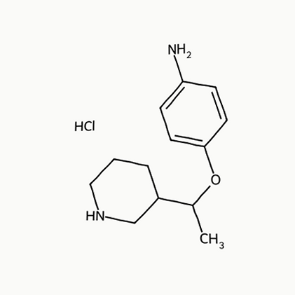 CC(Oc1ccc(N)cc1)C1CCCNC1.Cl